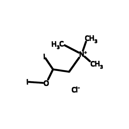 C[N+](C)(C)CC(I)OI.[Cl-]